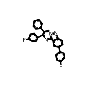 Fc1ccc(-c2ccc3nn4cc(-c5ccccc5)c(-c5ccc(F)cc5)nc4c3c2)cc1